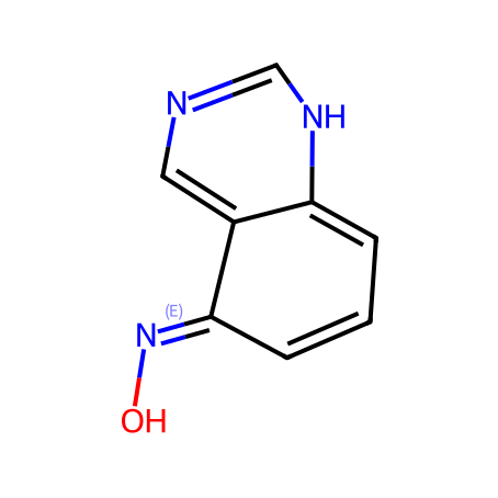 O/N=c1\cccc2[nH]cncc1-2